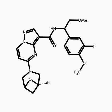 COCC(NC(=O)c1cnn2ccc(N3CC4C[C@H](C3)O4)nc12)c1ccc(OC(F)(F)F)c(F)c1